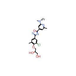 Cc1cc(-c2nc(-c3cc(C)c(OCC(O)CO)c(Cl)c3)no2)cc(N(C)C(C)C)n1